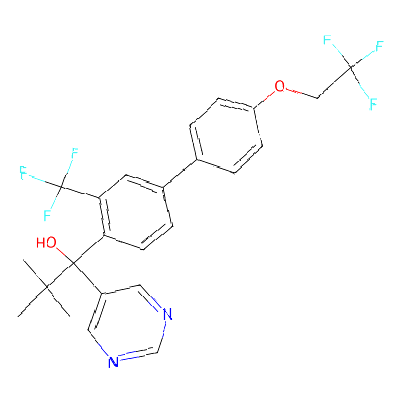 CC(C)(C)C(O)(c1cncnc1)c1ccc(-c2ccc(OCC(F)(F)F)cc2)cc1C(F)(F)F